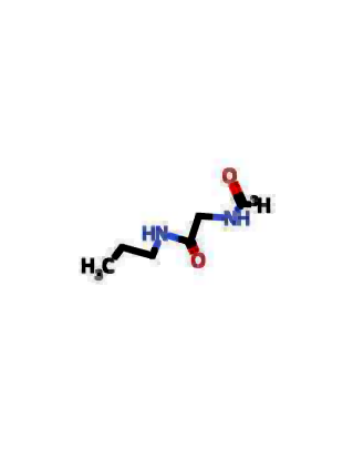 [3H]C(=O)NCC(=O)NCCC